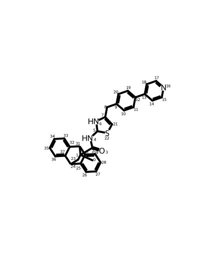 CC1(C(=O)NC2NC(Cc3ccc(-c4ccncc4)cc3)=CS2)CC2c3ccccc3C1c1ccccc12